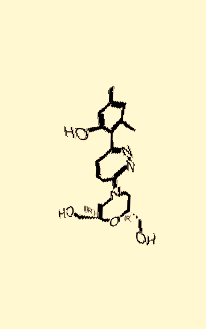 Cc1cc(C)c(-c2ccc(N3C[C@H](CO)O[C@@H](CO)C3)nn2)c(O)c1